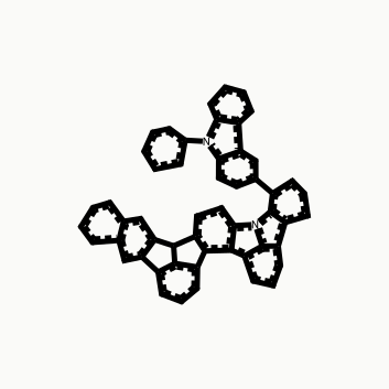 c1ccc(-n2c3ccccc3c3cc(-c4cccc5c6cccc7c8c9c(ccc8n(c45)c67)C4c5cc6ccccc6cc5-c5cccc-9c54)ccc32)cc1